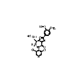 CCOc1ccc(-c2nc(C(=O)Nc3c(Cl)cncc3Cl)c(C(C)N)o2)cc1OCC.Cl.Cl